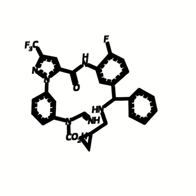 N=CN(C(=O)O)c1cccc(-n2nc(C(F)(F)F)cc2C(=O)Nc2cc(C(NCC3CC3)c3ccccc3)ccc2F)c1